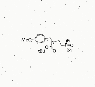 COc1ccc(CN(CCP(=O)(C(C)C)C(C)C)C(=O)OC(C)(C)C)cc1